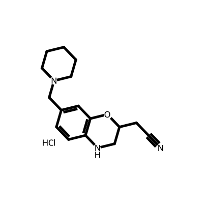 Cl.N#CCC1CNc2ccc(CN3CCCCC3)cc2O1